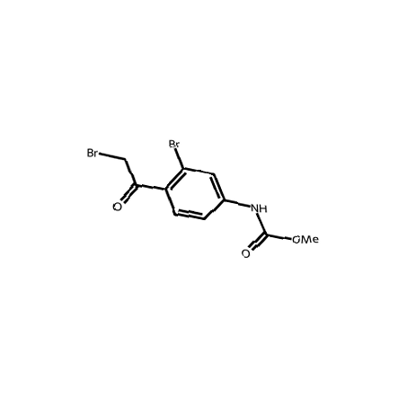 COC(=O)Nc1ccc(C(=O)CBr)c(Br)c1